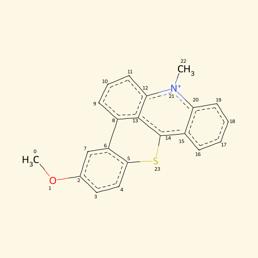 COc1ccc2c(c1)-c1cccc3c1c(c1ccccc1[n+]3C)S2